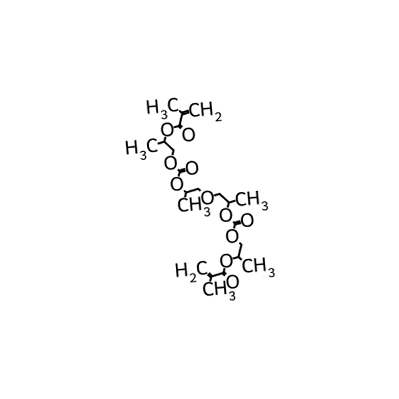 C=C(C)C(=O)OC(C)COC(=O)OC(C)COCC(C)OC(=O)OCC(C)OC(=O)C(=C)C